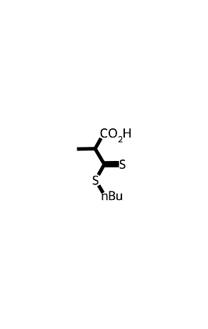 CCCCSC(=S)C(C)C(=O)O